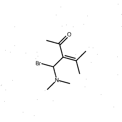 CC(=O)C(=C(C)C)C(Br)N(C)C